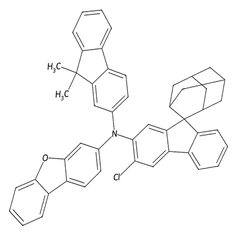 CC1(C)c2ccccc2-c2ccc(N(c3ccc4c(c3)oc3ccccc34)c3cc4c(cc3Cl)-c3ccccc3C43C4CC5CC(C4)CC3C5)cc21